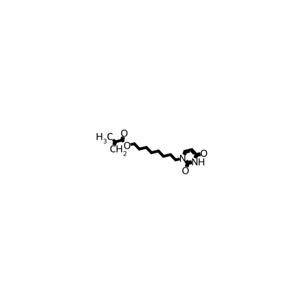 C=C(C)C(=O)OCCCCCCCCn1ccc(=O)[nH]c1=O